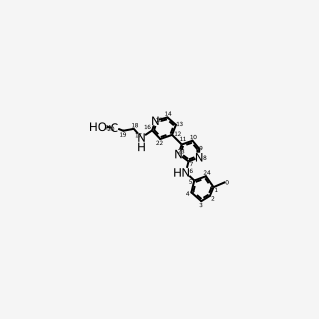 Cc1cccc(Nc2nccc(-c3ccnc(NCCCO)c3)n2)c1